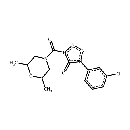 CC1CN(C(=O)n2nnn(-c3cccc(Cl)c3)c2=O)CC(C)O1